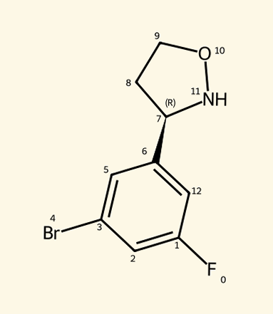 Fc1cc(Br)cc([C@H]2CCON2)c1